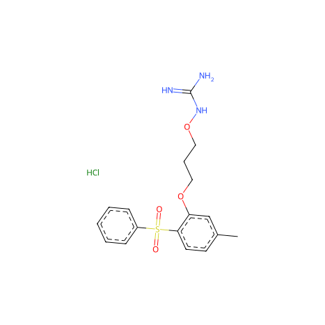 Cc1ccc(S(=O)(=O)c2ccccc2)c(OCCCONC(=N)N)c1.Cl